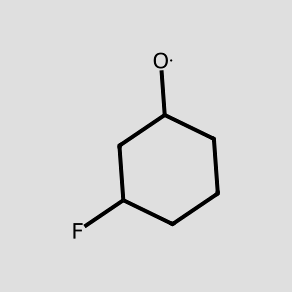 [O]C1CCCC(F)C1